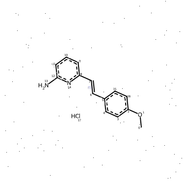 COc1ccc(/C=C/c2cccc(N)n2)cc1.Cl